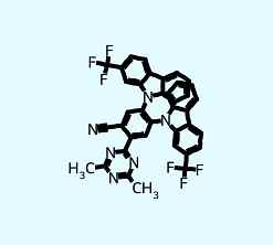 Cc1nc(C)nc(-c2cc(-n3c4ccccc4c4ccc(C(F)(F)F)cc43)c(-n3c4ccccc4c4ccc(C(F)(F)F)cc43)cc2C#N)n1